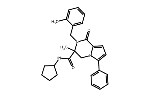 Cc1ccccc1CN1C(=O)c2ccc(-c3ccccc3)n2CC1(C)C(=O)NC1CCCC1